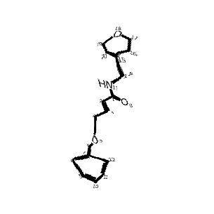 O=C(C=CCOCc1ccccc1)NCC1CCOCC1